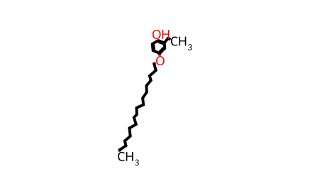 CCCCCCCCCCCCCCCCCCOc1ccc(O)c(CC)c1